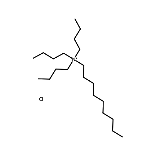 CCCCCCCCC[N+](CCCC)(CCCC)CCCC.[Cl-]